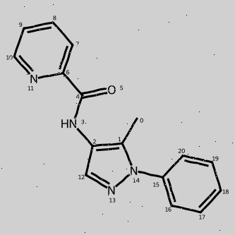 Cc1c(NC(=O)c2ccccn2)cnn1-c1ccccc1